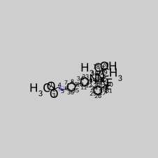 COC(=O)/C=C/c1ccc(-c2ccc(-n3cc(C(C)(C)O)nc3-c3ccccc3C(F)(F)F)cc2)cc1